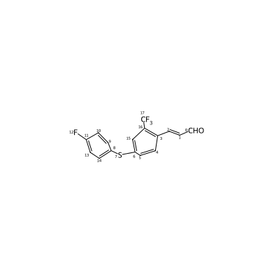 O=CC=Cc1ccc(Sc2ccc(F)cc2)cc1C(F)(F)F